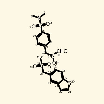 CN(C)S(=O)(=O)c1ccc([C@@H](CS(=O)(=O)Cc2ccc3sccc3c2)N(O)C=O)cc1